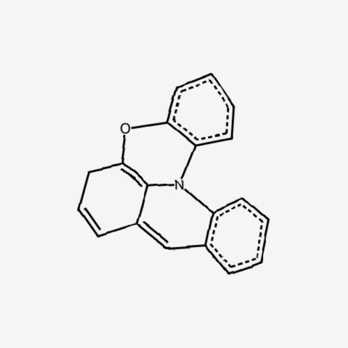 C1=CC2=Cc3ccccc3N3C2=C(C1)Oc1ccccc13